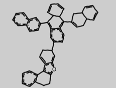 C1=CC2CC=C(C3=c4ccc(C5C=c6oc7c(c6=CC5)-c5ccccc5CC7)cc4=C(c4ccc5ccccc5c4)C4C=CC=CC34)CC2C=C1